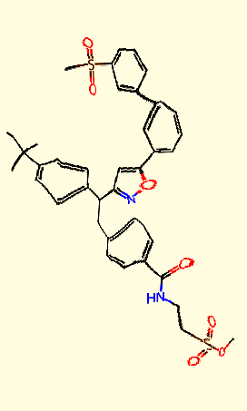 COS(=O)(=O)CCNC(=O)c1ccc(CC(c2ccc(C(C)(C)C)cc2)c2cc(-c3cccc(-c4cccc(S(C)(=O)=O)c4)c3)on2)cc1